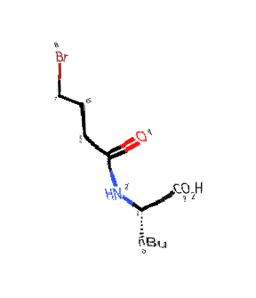 CCCC[C@H](NC(=O)CCCBr)C(=O)O